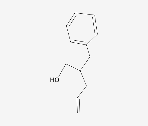 C=CCC(CO)Cc1ccccc1